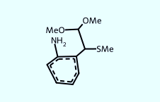 COC(OC)C(SC)c1ccccc1N